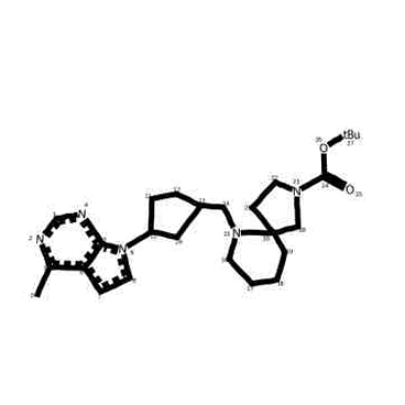 Cc1ncnc2c1ccn2C1CCC(CN2CCCCC23CCN(C(=O)OC(C)(C)C)C3)C1